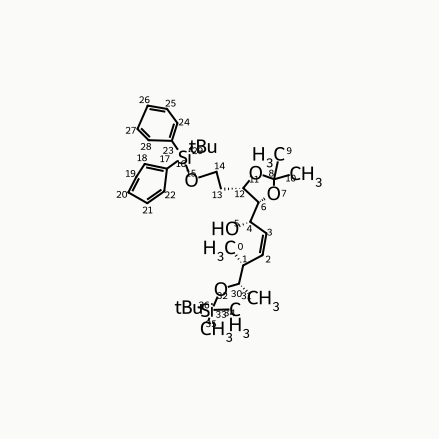 C[C@H](/C=C\[C@H](O)[C@H]1OC(C)(C)O[C@H]1CCO[Si](c1ccccc1)(c1ccccc1)C(C)(C)C)[C@H](C)O[Si](C)(C)C(C)(C)C